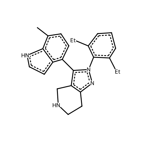 CCc1cccc(CC)c1-n1nc2c(c1-c1ccc(C)c3[nH]ccc13)CNCC2